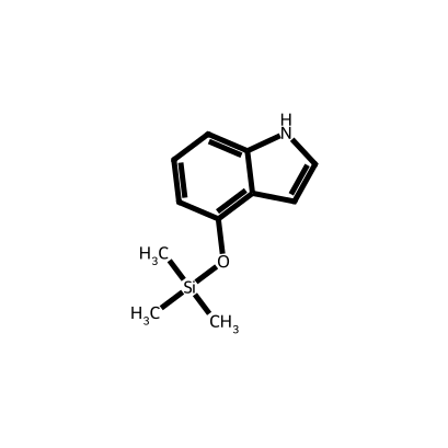 C[Si](C)(C)Oc1cccc2[nH]ccc12